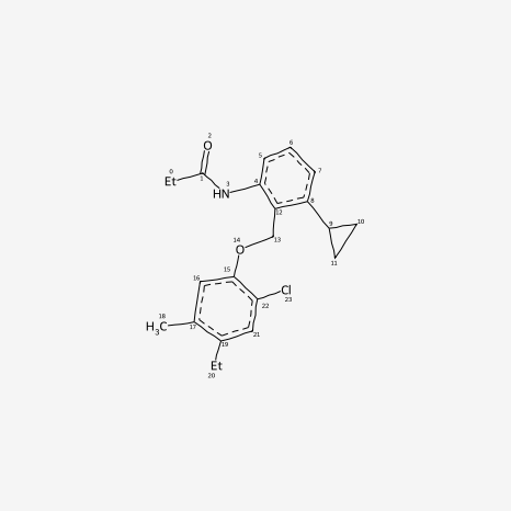 CCC(=O)Nc1cccc(C2CC2)c1COc1cc(C)c(CC)cc1Cl